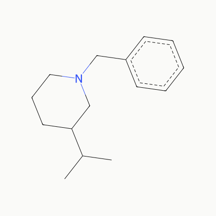 CC(C)C1CCCN(Cc2ccccc2)C1